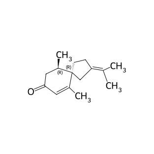 CC1=CC(=O)C[C@@H](C)[C@]12CCC(=C(C)C)C2